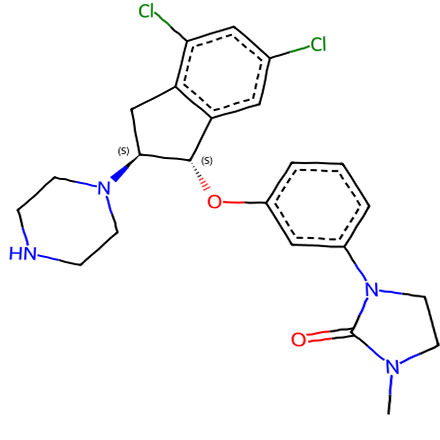 CN1CCN(c2cccc(O[C@H]3c4cc(Cl)cc(Cl)c4C[C@@H]3N3CCNCC3)c2)C1=O